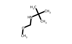 COCNC(C)(C)C